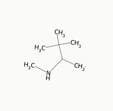 [CH2]C(NC)C(C)(C)C